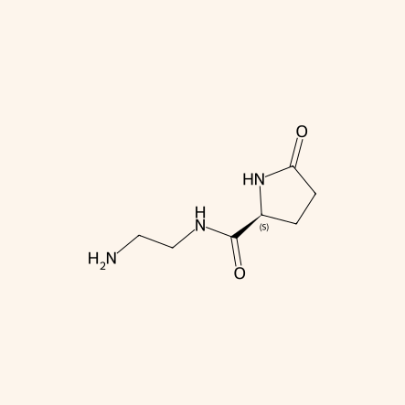 NCCNC(=O)[C@@H]1CCC(=O)N1